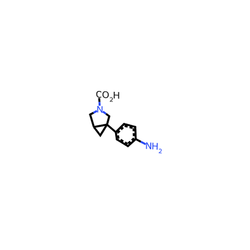 Nc1ccc(C23CC2CN(C(=O)O)C3)cc1